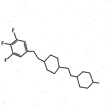 CC1CCC(CCC2CCC(CCc3cc(F)c(F)c(F)c3)CC2)CC1